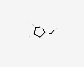 OC[C@@H]1O[C@H](O)[C@@H](O)[C@H]1O